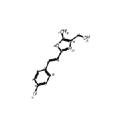 Cc1oc(/C=C/c2ccc(Cl)cc2)nc1CO